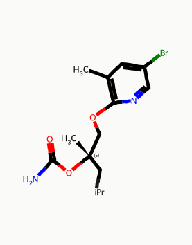 Cc1cc(Br)cnc1OC[C@](C)(CC(C)C)OC(N)=O